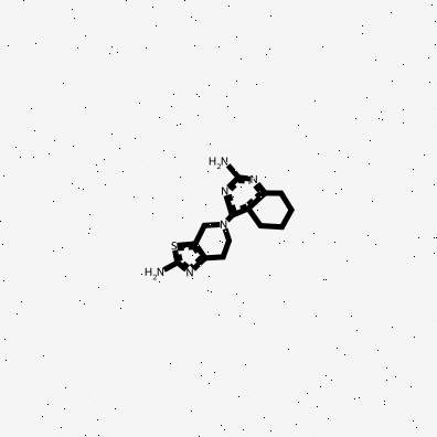 Nc1nc2c(c(N3CCc4nc(N)sc4C3)n1)CCCC2